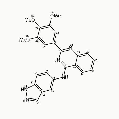 COc1cc(-c2nc(Nc3ccc4[nH]ncc4c3)c3ccccc3n2)cc(OC)c1OC